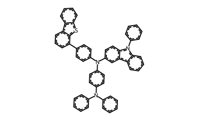 c1ccc(N(c2ccccc2)c2ccc(N(c3ccc(-c4cccc5c4sc4ccccc45)cc3)c3ccc4c(c3)c3ccccc3n4-c3ccccc3)cc2)cc1